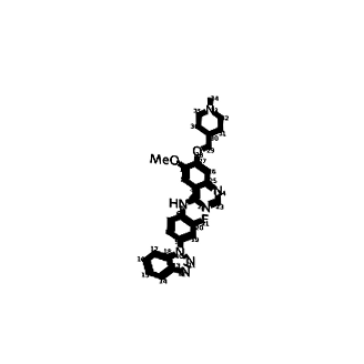 COc1cc2c(Nc3ccc(-n4nnc5ccccc54)cc3F)ncnc2cc1OCC1CCN(C)CC1